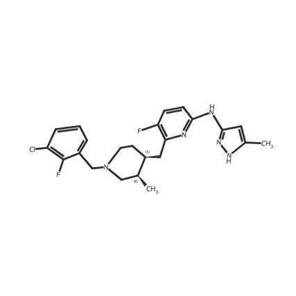 Cc1cc(Nc2ccc(F)c(C[C@@H]3CCN(Cc4cccc(Cl)c4F)C[C@@H]3C)n2)n[nH]1